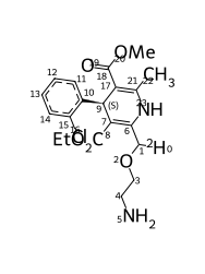 [2H]C(OCCN)C1=C(C(=O)OCC)[C@@H](c2ccccc2Cl)C(C(=O)OC)=C(C)N1